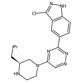 CC(C)C[C@H]1CN(c2cnnc(-c3ccc4[nH]nc(Cl)c4c3)n2)CCN1